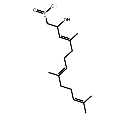 CC(C)=CCCC(C)=CCCC(C)=CC(O)C[PH](=O)O